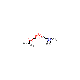 C=C(C)C(=O)OCCOP(=O)([O-])OCCCC[N+](CC)(CC)CC